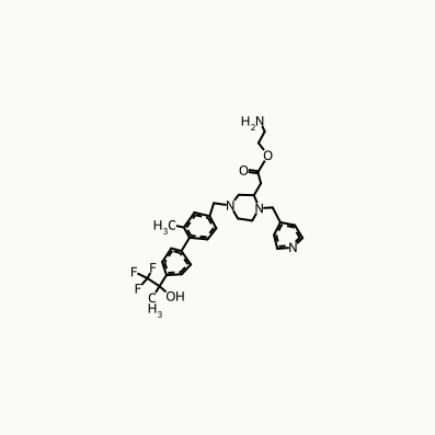 Cc1cc(CN2CCN(Cc3ccncc3)C(CC(=O)OCCN)C2)ccc1-c1ccc(C(C)(O)C(F)(F)F)cc1